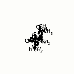 CCC1NC(C(=O)O)CC12CCN(c1cc(O[C@H](c3ccc(Cl)cc3-c3cccc(S(=O)(=O)NC)c3)C(F)(F)F)nc(N)n1)CC2